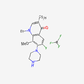 CCn1cc(C(=O)O)c(=O)c2cc(F)c(N3CCNCC3)c(OC)c21.FB(F)F